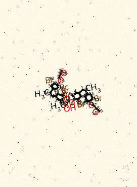 CC(Cc1cc(Br)c(OC(Oc2c(Br)cc(CC(C)c3cc(Br)c(OCC4CO4)c(Br)c3)cc2Br)C(C)O)c(Br)c1)c1cc(Br)c(OCC2CO2)c(Br)c1